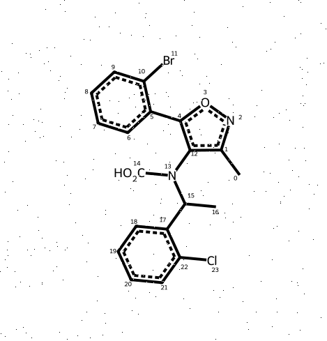 Cc1noc(-c2ccccc2Br)c1N(C(=O)O)C(C)c1ccccc1Cl